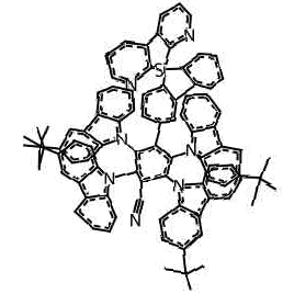 CC(C)(C)c1ccc2c(c1)c1ccccc1n2-c1c(C#N)c(-n2c3ccccc3c3cc(C(C)(C)C)ccc32)c(-n2c3ccccc3c3cc(C(C)(C)C)ccc32)c(-c2ccc3c(c2)-c2ccccc2[Si]32c3ncccc3-c3cccnc32)c1-n1c2ccccc2c2cc(C(C)(C)C)ccc21